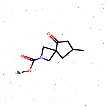 CC1CC(=O)C2(C1)CN(C(=O)OC(C)(C)C)C2